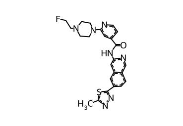 Cc1nnc(-c2ccc3cnc(NC(=O)c4ccnc(N5CCN(CCF)CC5)c4)cc3c2)s1